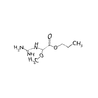 CCCOC(=O)C(NC(=N)N)OC